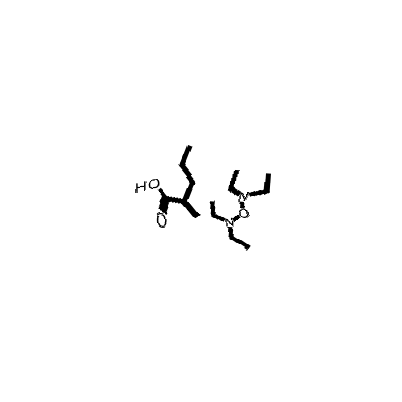 C=C(CCC)C(=O)O.CCN(CC)ON(CC)CC